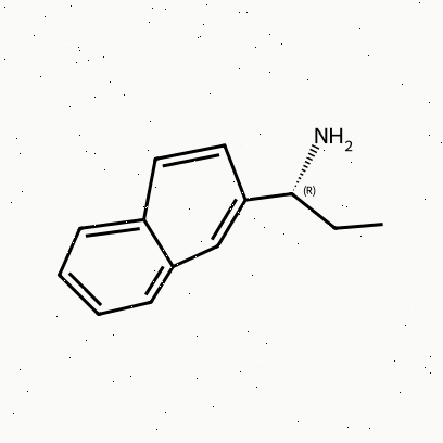 CC[C@@H](N)c1ccc2ccccc2c1